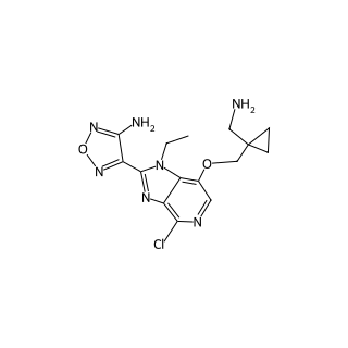 CCn1c(-c2nonc2N)nc2c(Cl)ncc(OCC3(CN)CC3)c21